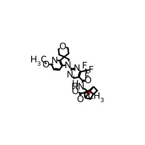 COc1ccc2c(n1)C1(CCOCC1)CN2c1ncc(C(=O)NC2(C(=O)O)CC3CC4CC2CC43C)c(C(F)(F)F)n1